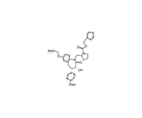 COCOc1ccc2c(c1)C[C@@H](c1ccc(OC)cc1)[C@@H](O)C(=O)N2CC1CCCN1C(=O)OCc1ccccc1